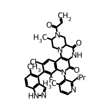 C=CC(=O)N1CC2C(=O)Nc3c(c4cc(Cl)c(-c5c(C)ccc6[nH]ncc56)c(F)c4n(-c4c(C)ccnc4C(C)C)c3=O)N2CC1C